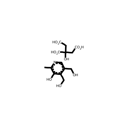 Cc1ncc(CO)c(CO)c1O.O=C(O)CC(O)(CC(=O)O)C(=O)O